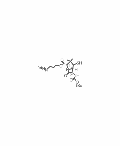 CC(C)(C)OC(=O)N[C@H]1C(=O)N2[C@H]1C(S)C(C)(C)[C@H]2C(=O)OCCCN=[N+]=[N-]